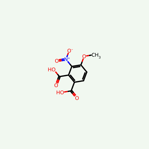 COc1ccc(C(=O)O)c(C(=O)O)c1[N+](=O)[O-]